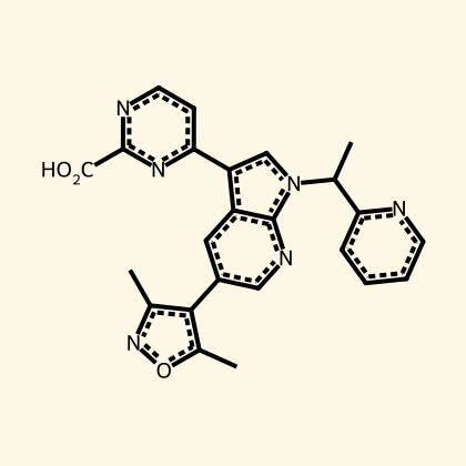 Cc1noc(C)c1-c1cnc2c(c1)c(-c1ccnc(C(=O)O)n1)cn2C(C)c1ccccn1